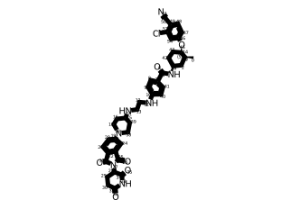 C[C@H]1C[C@@H](NC(=O)c2ccc(NCCNC3CCN(c4ccc5c(c4)C(=O)N(C4CCC(=O)NC4=O)C5=O)CC3)cc2)CC[C@@H]1Oc1ccc(C#N)c(Cl)c1